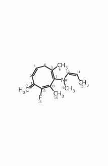 C=C1/C=C\C/C(C)=C(N(C)/C=C\C)\C(C)=C/1F